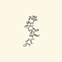 N#CCC(Sc1nnn[nH]1)C1(C(=O)O)CS[C@@H]2C(N(S)C(=O)Cc3ccc(Cl)cc3)C(=O)N2C1